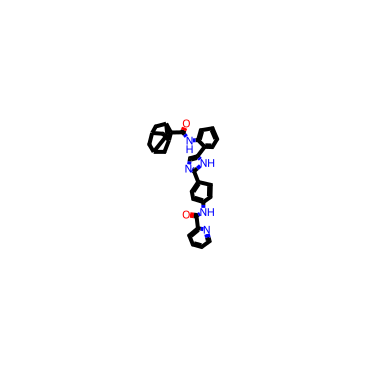 O=C(Nc1ccc(-c2ncc(-c3ccccc3NC(=O)C3C4CC5CC(C4)CC3C5)[nH]2)cc1)c1ccccn1